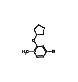 CCc1ccc(C)c(OC2CCCC2)c1